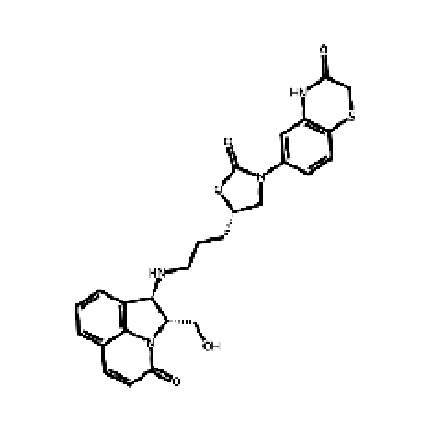 O=C1CSc2ccc(N3C[C@H](CCCN[C@@H]4c5cccc6ccc(=O)n(c56)[C@H]4CO)OC3=O)cc2N1